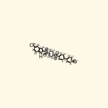 O=S(=O)(c1ccc(-c2cc[n+]([O-])cc2)cc1)N1CCN(S(=O)(=O)c2cc3cc(Cl)ccc3[nH]2)CC1